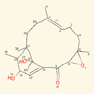 C/C1=C\CCC2(C)OC2C(=O)C2=CC(O)C(C)C(C)(CC1)C2(C)O